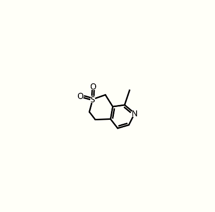 Cc1nccc2c1CS(=O)(=O)CC2